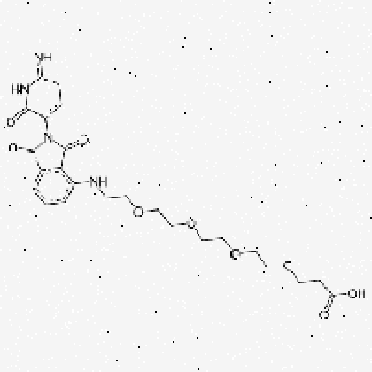 N=C1CCC(N2C(=O)c3cccc(NCCOCCOCCOCCOCCC(=O)O)c3C2=O)C(=O)N1